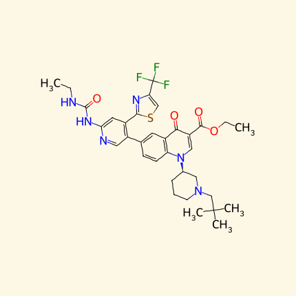 CCNC(=O)Nc1cc(-c2nc(C(F)(F)F)cs2)c(-c2ccc3c(c2)c(=O)c(C(=O)OCC)cn3[C@@H]2CCCN(CC(C)(C)C)C2)cn1